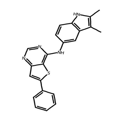 Cc1[nH]c2ccc(Nc3ncnc4cc(-c5ccccc5)sc34)cc2c1C